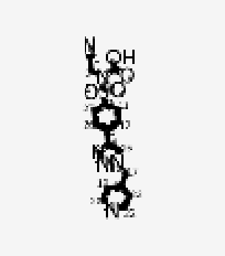 N#CCN(C(=O)O)S(=O)(=O)c1ccc(-c2cn(Cc3ccncc3)nn2)cc1